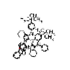 CC(C)(C)c1ccc(N2c3cc(C(C)(C)C)cc4c3B(c3c2c2c(n3-c3ccccc3)CCCC2)c2c(c3c(n2-c2cccc5c2oc2ccccc25)CCCC3)N4c2ccccc2)cc1